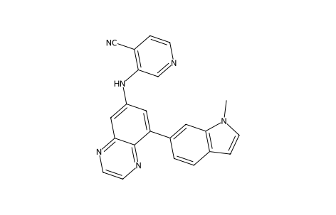 Cn1ccc2ccc(-c3cc(Nc4cnccc4C#N)cc4nccnc34)cc21